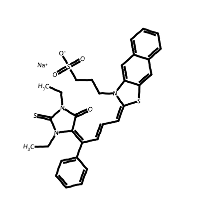 CCN1C(=O)C(=C(C=CC=C2Sc3cc4ccccc4cc3N2CCCS(=O)(=O)[O-])c2ccccc2)N(CC)C1=S.[Na+]